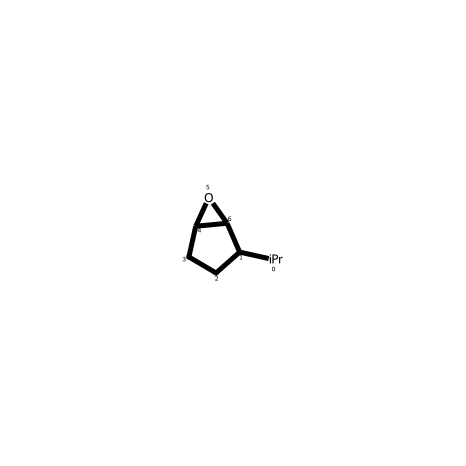 CC(C)C1CCC2OC21